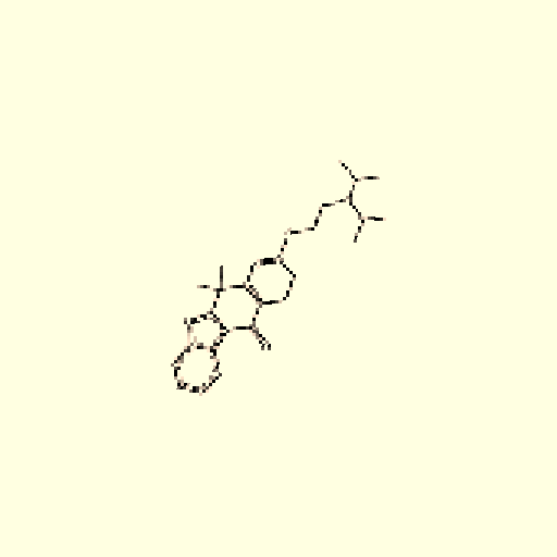 CC(C)N(CCSC1=CC2=C(CC1)C(=O)c1c(oc3ccccc13)C2(C)C)C(C)C